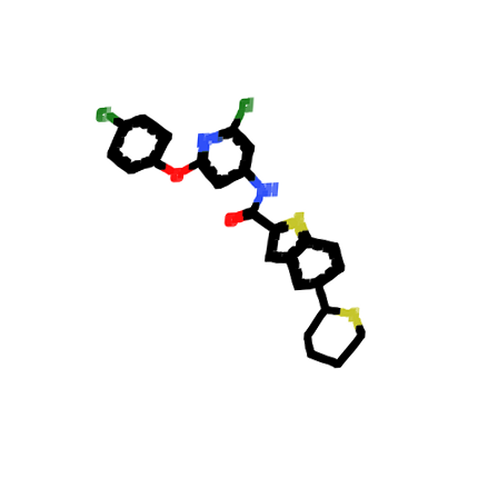 O=C(Nc1cc(Cl)nc(Oc2ccc(Cl)cc2)c1)c1cc2cc(C3CCCCS3)ccc2s1